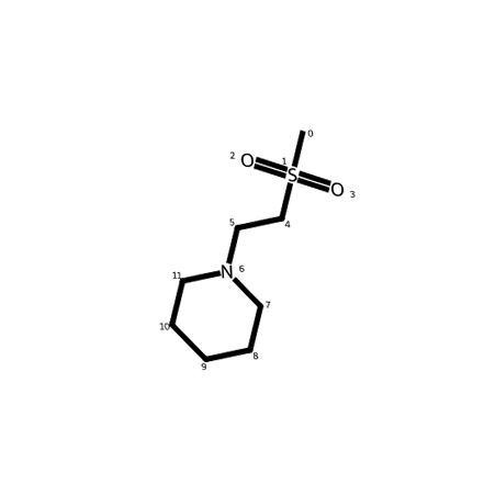 CS(=O)(=O)CCN1CCCCC1